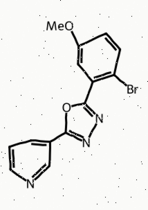 COc1ccc(Br)c(-c2nnc(-c3cccnc3)o2)c1